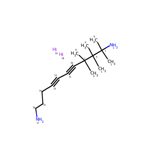 CC(C)(N)C(C)(C)C(C)(C)C#CC#CCCCN.I.I